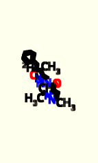 [2H]C1(Cc2ccccc2)ON=C(CNC(=O)c2cc(C)nn2C(C)C)C1C